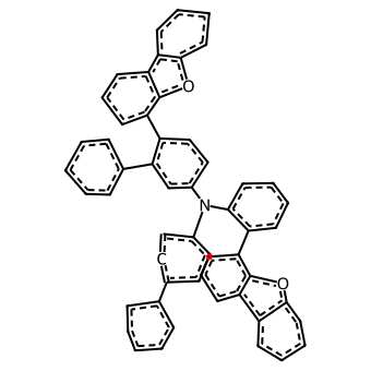 c1ccc(-c2ccc(N(c3ccc(-c4cccc5c4oc4ccccc45)c(-c4ccccc4)c3)c3ccccc3-c3cccc4c3oc3ccccc34)cc2)cc1